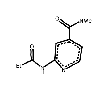 CCC(=O)Nc1cc(C(=O)NC)ccn1